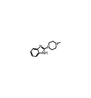 CN1CCN(c2nc3ccccc3[nH]2)CC1